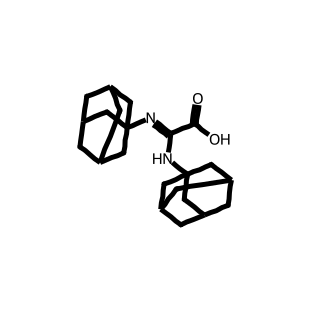 O=C(O)C(=NC12CC3CC(CC(C3)C1)C2)NC12CC3CC(CC(C3)C1)C2